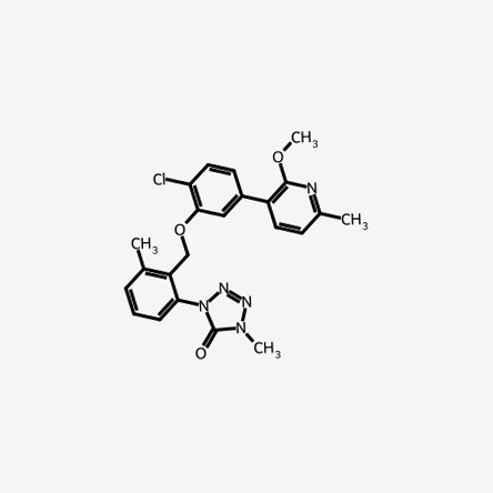 COc1nc(C)ccc1-c1ccc(Cl)c(OCc2c(C)cccc2-n2nnn(C)c2=O)c1